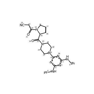 CC(C)Nc1nc(NC(C)C)nc(N2CCN(C(=O)C3CCCN3C(=O)CC#N)CC2)n1